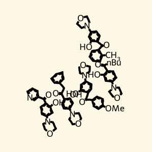 CCCCC(=O)c1ccc(N2CCOCC2)cc1O.COc1ccc(C(=O)c2ccc(N3CCOCC3)cc2O)cc1.Cc1ccccc1C(=O)c1ccc(N2CCOCC2)cc1O.O=C(Cc1ccccc1)c1ccc(N2CCOCC2)cc1O.O=C(c1cccnc1)c1ccc(N2CCOCC2)cc1O